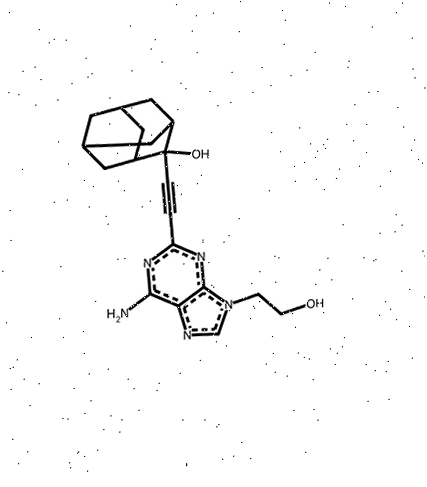 Nc1nc(C#CC2(O)C3CC4CC(C3)CC2C4)nc2c1ncn2CCO